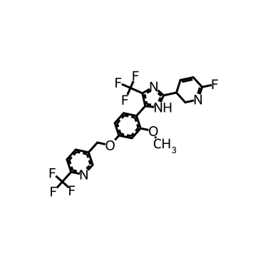 COc1cc(OCc2ccc(C(F)(F)F)nc2)ccc1-c1[nH]c(C2C=CC(F)=NC2)nc1C(F)(F)F